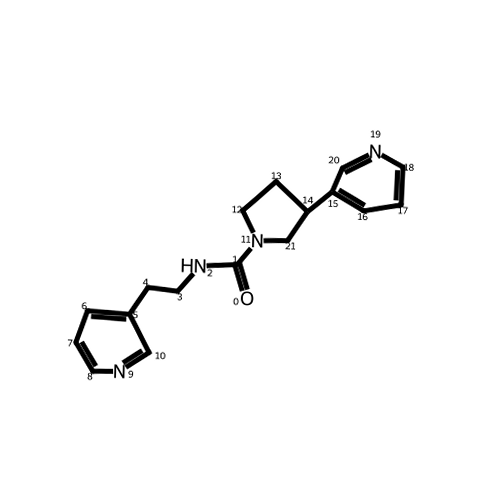 O=C(NCCc1cccnc1)N1CCC(c2cccnc2)C1